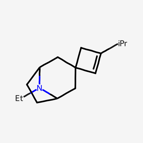 CCN1C2CCC1CC1(C=C(C(C)C)C1)C2